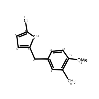 [CH2]c1cc(Cc2ccc(Cl)s2)ccc1OC